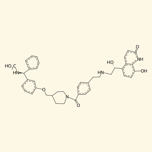 O=C(O)N[C@@H](c1ccccc1)c1cccc(OCC2CCN(C(=O)c3ccc(CCNC[C@H](O)c4ccc(O)c5[nH]c(=O)ccc45)cc3)CC2)c1